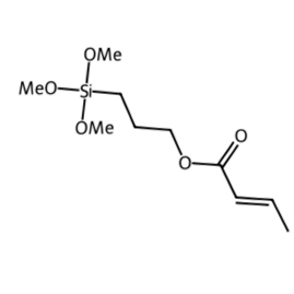 CC=CC(=O)OCCC[Si](OC)(OC)OC